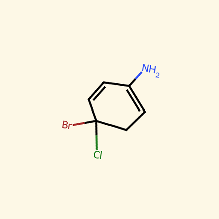 NC1=CCC(Cl)(Br)C=C1